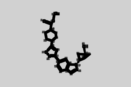 CC(C)(C)OC(=O)N1CCC(c2nc(-c3ccc4cnn([C@@H]5C[C@]6(O)CC56)c4c3)no2)CC1